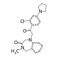 CN1Cc2ccccc2N(CC(=O)c2ccc(N3CCCC3)cc2Cl)CC1=O